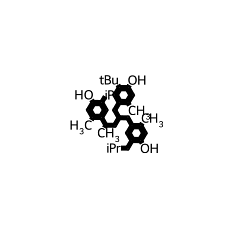 Cc1cc(O)c(CC(C)C)cc1CC(Cc1cc(C(C)(C)C)c(O)cc1C)CC(C)c1cc(C(C)C)c(O)cc1C